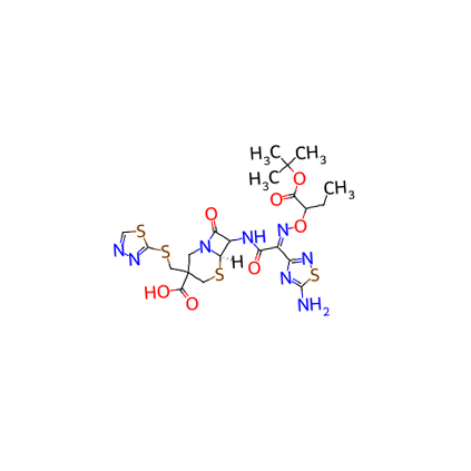 CCC(ON=C(C(=O)NC1C(=O)N2CC(CSc3nncs3)(C(=O)O)CS[C@H]12)c1nsc(N)n1)C(=O)OC(C)(C)C